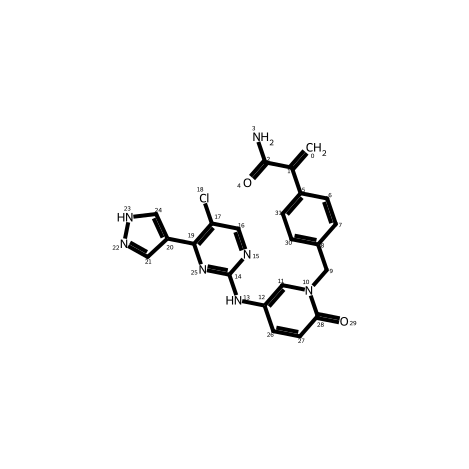 C=C(C(N)=O)c1ccc(Cn2cc(Nc3ncc(Cl)c(-c4cn[nH]c4)n3)ccc2=O)cc1